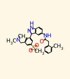 Cc1ccccc1CC(=O)Nc1ccc2[nH]nc(-c3cc(CN(C)C)cc(S(C)(=O)=O)c3)c2c1